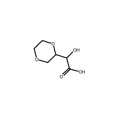 O=C(O)C(O)C1COCCO1